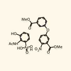 CC(=O)Nc1c(O)cccc1[As](=O)(O)O.COC(=O)c1cccc(Oc2ccc([N+](=O)[O-])c(C(=O)OC)c2)c1